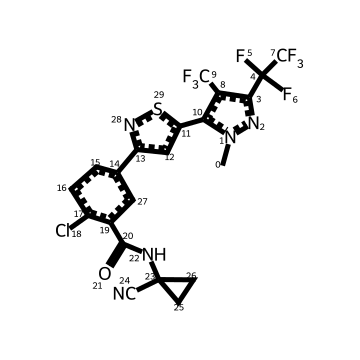 Cn1nc(C(F)(F)C(F)(F)F)c(C(F)(F)F)c1-c1cc(-c2ccc(Cl)c(C(=O)NC3(C#N)CC3)c2)ns1